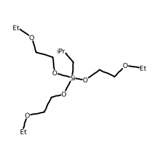 CCOCCO[Si](CC(C)C)(OCCOCC)OCCOCC